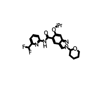 CC(C)Oc1cc2nn(C3CCCCO3)cc2cc1C(=O)Nc1cccc(C(F)F)n1